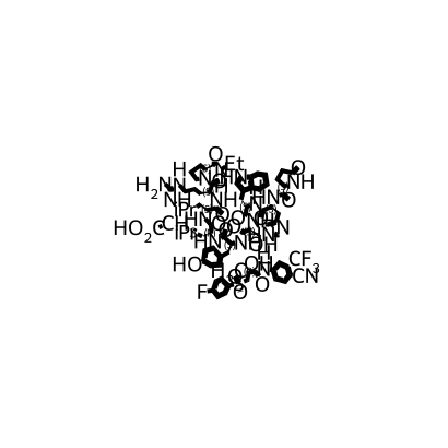 CC(=O)O.CCNC(=O)[C@@H]1CCCN1C(=O)[C@H](CCCNC(=N)N)NC(=O)[C@H](CC(C)C)NC(=O)[C@@H](CC(C)C)NC(=O)[C@H](Cc1ccc(O)cc1)NC(=O)[C@H](CO)NC(=O)[C@H](Cc1c[nH]c2ccccc12)NC(=O)[C@H](Cc1c[nH]cn1)NC(=O)[C@@H]1CCC(=O)N1.C[C@](O)(CS(=O)(=O)c1ccc(F)cc1)C(=O)Nc1ccc(C#N)c(C(F)(F)F)c1